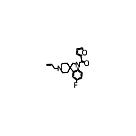 C=CCN1CCC2(CC1)CN(C(=O)c1ccco1)c1ccc(F)cc12